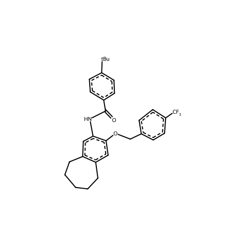 CC(C)(C)c1ccc(C(=O)Nc2cc3c(cc2OCc2ccc(C(F)(F)F)cc2)CCCCC3)cc1